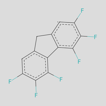 Fc1[c]c2c(c(F)c1F)-c1c(cc(F)c(F)c1F)C2